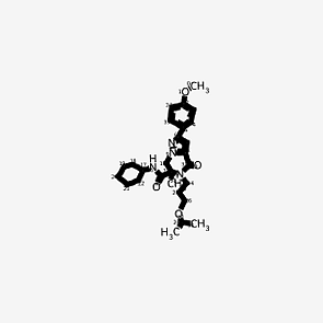 COc1ccc(-c2cc3n(n2)CC(C)(C(=O)NC2CCCCC2)N(CCCOC(C)C)C3=O)cc1